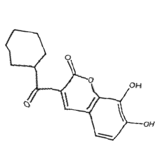 O=C(c1cc2ccc(O)c(O)c2oc1=O)C1CCCCC1